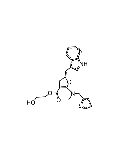 CN(Cc1cccs1)C1=C(C(=O)OCCO)C/C(=C/c2c[nH]c3ncccc23)O1